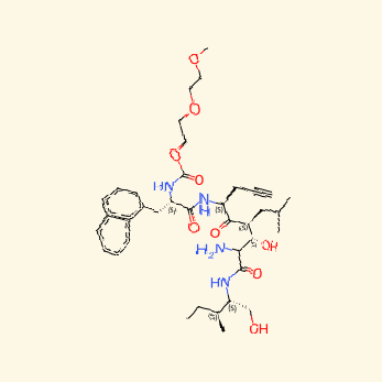 C#CC[C@H](NC(=O)[C@H](Cc1cccc2ccccc12)NC(=O)OCCOCCOC)C(=O)[C@@H](CC(C)C)[C@H](O)C(N)C(=O)N[C@H](CO)[C@@H](C)CC